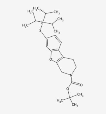 CC(C)[Si](Sc1ccc2c3c(oc2c1)CN(C(=O)OC(C)(C)C)CC3)(C(C)C)C(C)C